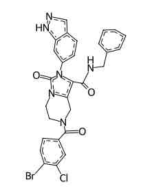 O=C(NCc1ccccc1)c1c2n(c(=O)n1-c1ccc3cn[nH]c3c1)CCN(C(=O)c1ccc(Br)c(Cl)c1)C2